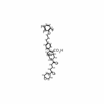 O=C(O)C1=C(c2ccc(CCCOc3c(F)ccc(F)c3F)cc2)CC2CN(C(=O)CCCC(=O)N3CCOCC3)CC1N2